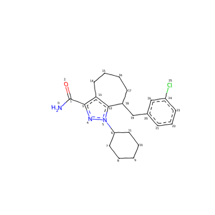 NC(=O)c1nn(C2CCCCC2)c2c1CCCCC2Cc1cccc(Cl)c1